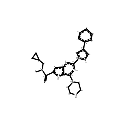 CN(CC1CC1)C(=O)c1cc2nc(-n3cc(-c4ccccc4)cn3)nc(N3CCOCC3)c2o1